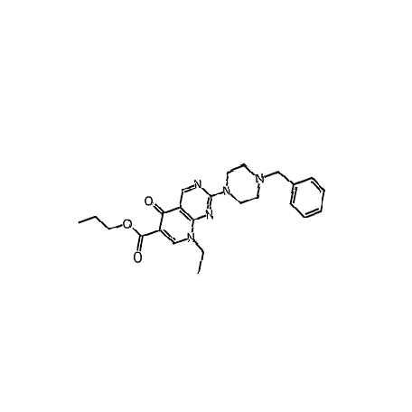 CCCOC(=O)c1cn(CC)c2nc(N3CCN(Cc4ccccc4)CC3)ncc2c1=O